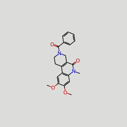 COc1cc2c3c(c(=O)n(C)c2cc1OC)CN(C(=O)c1ccccc1)CC3